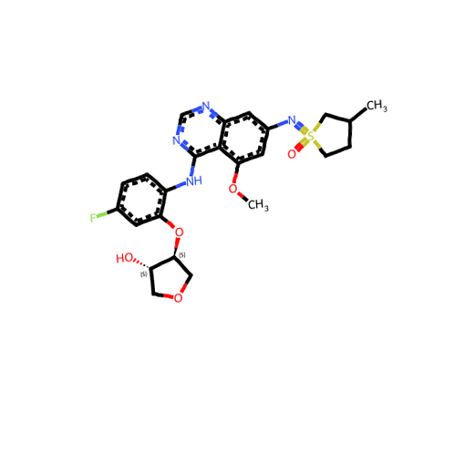 COc1cc(N=S2(=O)CCC(C)C2)cc2ncnc(Nc3ccc(F)cc3O[C@H]3COC[C@@H]3O)c12